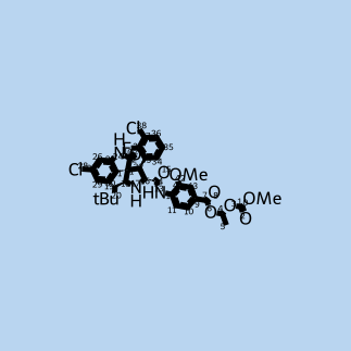 COC(=O)OC(C)OC(=O)c1ccc(NC(=O)[C@@H]2N[C@@H](CC(C)(C)C)[C@@]3(C(=O)Nc4cc(Cl)ccc43)[C@H]2c2cccc(Cl)c2F)c(OC)c1